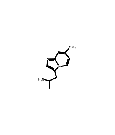 COc1ccn2c(CC(C)N)cnc2c1